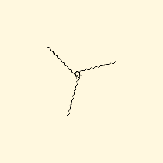 CCCCCCCCCCCCCCCC[n+]1cc(CCCCCCCCCCCCCCC)cc(CCCCCCCCCCCCCCC)c1